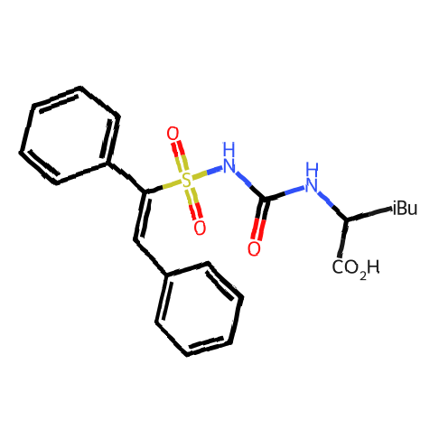 CCC(C)C(NC(=O)NS(=O)(=O)C(=Cc1ccccc1)c1ccccc1)C(=O)O